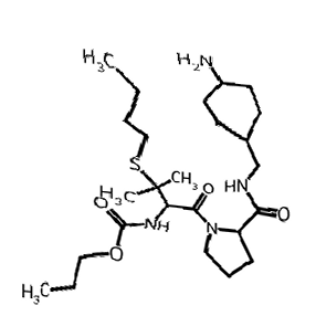 CCCCSC(C)(C)C(NC(=O)OCCC)C(=O)N1CCCC1C(=O)NCC1CCC(N)CC1